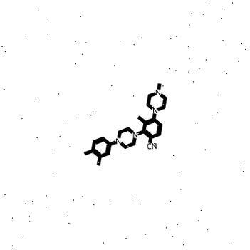 Cc1ccc(N2CCN(c3c(C#N)ccc(N4CCN(C)CC4)c3C)CC2)cc1C